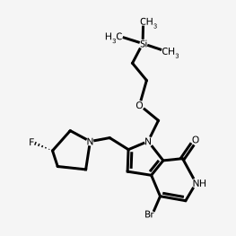 C[Si](C)(C)CCOCn1c(CN2CC[C@H](F)C2)cc2c(Br)c[nH]c(=O)c21